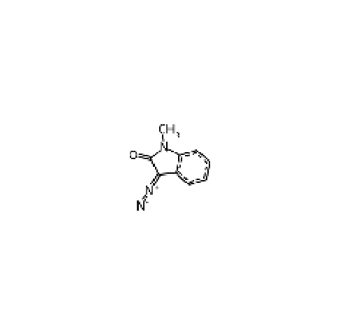 CN1C(=O)C(=[N+]=[N-])c2ccccc21